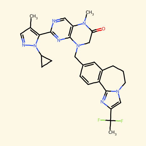 Cc1cnn(C2CC2)c1-c1ncc2c(n1)N(Cc1ccc3c(c1)CCCn1cc(C(C)(F)F)nc1-3)CC(=O)N2C